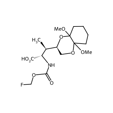 COC12CCCCC1(OC)O[C@H]([C@H](C)[C@H](NC(=O)OCF)C(=O)O)CO2